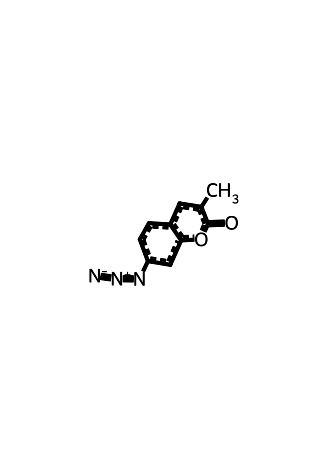 Cc1cc2ccc(N=[N+]=[N-])cc2oc1=O